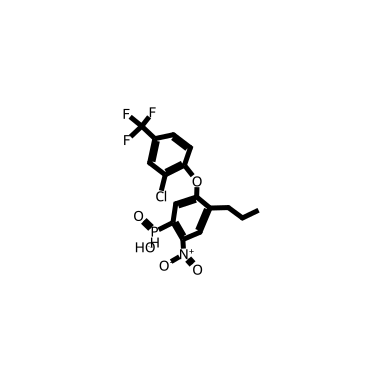 CCCc1cc([N+](=O)[O-])c([PH](=O)O)cc1Oc1ccc(C(F)(F)F)cc1Cl